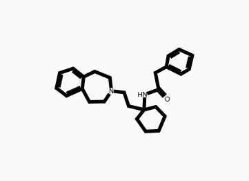 O=C(Cc1ccccc1)NC1(CCN2CCc3ccccc3CC2)CCCCC1